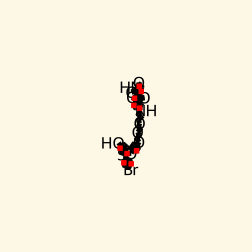 O=C1CCC(N2C(=O)c3ccc(NCCCOCCOCCOc4ccc(Oc5c(-c6ccc(Br)cc6)sc6cc(O)ccc56)cc4)cc3C2=O)C(=O)N1